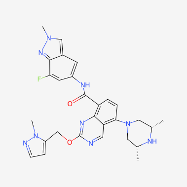 C[C@@H]1CN(c2ccc(C(=O)Nc3cc(F)c4nn(C)cc4c3)c3nc(OCc4ccnn4C)ncc23)C[C@H](C)N1